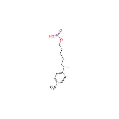 CC(CCCCCO[PH](=O)O)c1ccc([N+](=O)[O-])cc1